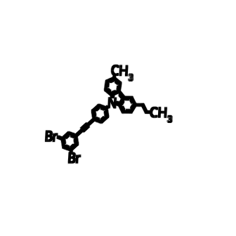 CCCc1ccc2c(c1)c1cc(C)ccc1n2-c1ccc(C#Cc2cc(Br)cc(Br)c2)cc1